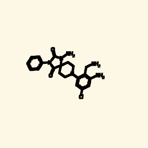 NCc1c(N)cc(Cl)cc1N1CCC2(CC1)C(=O)N(c1ccccc1)C(=O)N2N